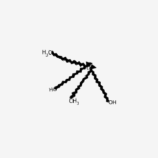 CCCCCCCCCCCCCCCCC(CCCCCCCCCCCCCCCCO)C1(OC2(C(CCCCCCCCCCCCCCCC)CCCCCCCCCCCCCCCCO)CC2)CC1